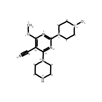 COc1nc(N2CC[S+]([O-])CC2)nc(N2CCNCC2)c1C#N